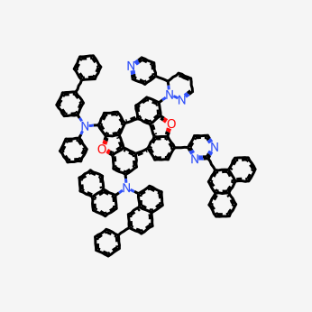 C1=CC(c2ccncc2)N(c2ccc3c4ccc(N(c5ccccc5)c5cccc(-c6ccccc6)c5)c5oc6cc(N(c7cccc8ccccc78)c7cccc8ccc(-c9ccccc9)cc78)cc(c7ccc(-c8ccnc(-c9cc%10ccccc%10c%10ccccc9%10)n8)c8oc2c3c87)c6c54)N=C1